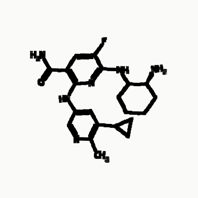 Cc1ncc(Nc2nc(NC3CCCC[C@@H]3N)c(F)cc2C(N)=O)cc1C1CC1